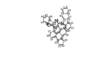 c1ccc2cc3c(cc2c1)c1ccccc1n3-c1nc2c(nc1-c1cccc3c4ccccc4c4ccccc4c13)oc1ccccc12